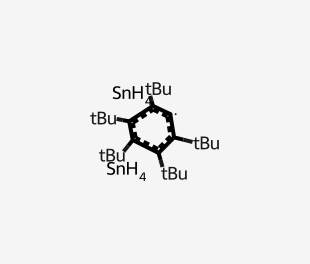 CC(C)(C)c1[c]c(C(C)(C)C)c(C(C)(C)C)c(C(C)(C)C)c1C(C)(C)C.[SnH4].[SnH4]